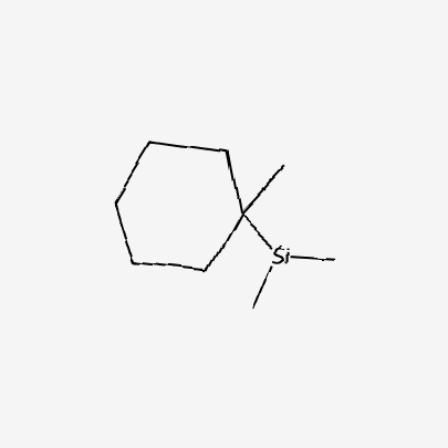 C[Si](C)C1(C)CCCCC1